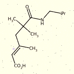 C/C(=C\C(=O)O)CC(C)(C)C(=O)NCC(C)C